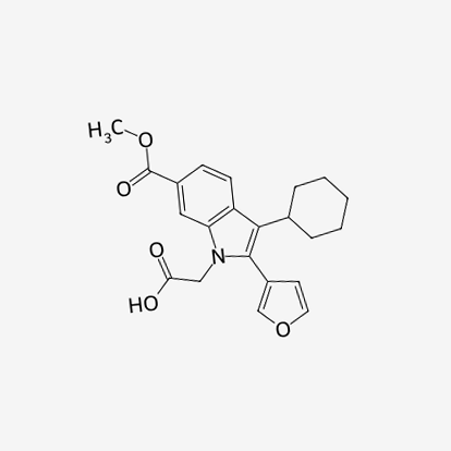 COC(=O)c1ccc2c(C3CCCCC3)c(-c3ccoc3)n(CC(=O)O)c2c1